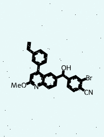 C=Cc1cccc(-c2cc(OC)nc3ccc(C(O)c4ccc(C#N)c(Br)c4)cc23)c1